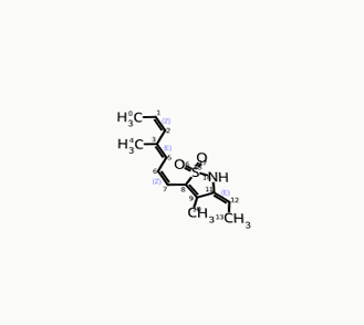 C\C=C/C(C)=C/C=C\C1=C(C)C(=C\C)/NS1(=O)=O